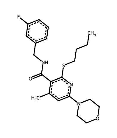 CCCCSc1nc(N2CCOCC2)cc(C)c1C(=O)NCc1cccc(F)c1